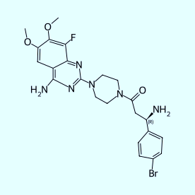 COc1cc2c(N)nc(N3CCN(C(=O)C[C@@H](N)c4ccc(Br)cc4)CC3)nc2c(F)c1OC